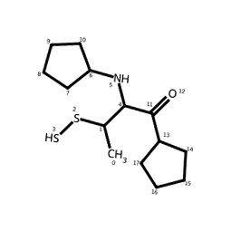 CC(SS)C(NC1CCCC1)C(=O)C1CCCC1